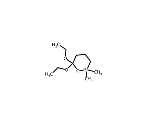 CCOC1(OCC)CCC[Si](C)(C)O1